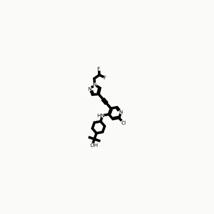 CC(C)(O)C1CCC(Nc2cc(Cl)ncc2C#Cc2cnn(CC(F)F)c2)CC1